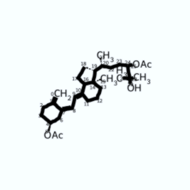 C=C1CC[C@H](OC(C)=O)C/C1=C/C=C1CCC[C@@]2(C)C1CC[C@@H]2[C@H](C)CCC(OC(C)=O)C(C)(C)O